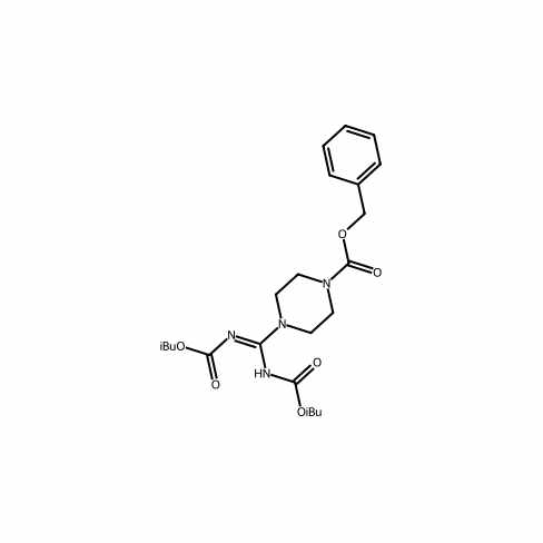 CC(C)COC(=O)N=C(NC(=O)OCC(C)C)N1CCN(C(=O)OCc2ccccc2)CC1